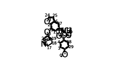 COc1ccc(S(=O)(=O)Nc2cc(OC3CN4CCC3CC4)c3occc3c2)cc1.Cl